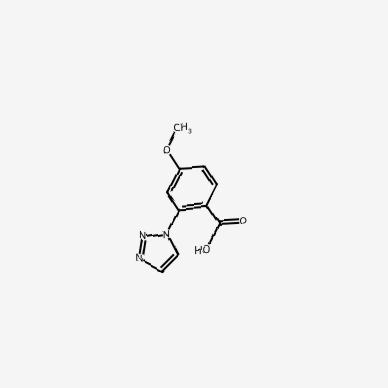 COc1ccc(C(=O)O)c(-n2ccnn2)c1